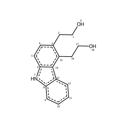 OCCc1ccc2[nH]c3ccccc3c2c1CCO